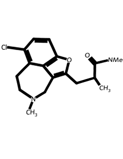 CNC(=O)C(C)Cc1oc2ccc(Cl)c3c2c1CN(C)CC3